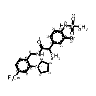 CC(C(=O)NCc1ccc(C(F)(F)F)cc1N1CCCC1)c1ccc(NS(C)(=O)=O)c(Br)c1